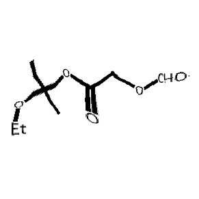 CCOC(C)(C)OC(=O)CO[C]=O